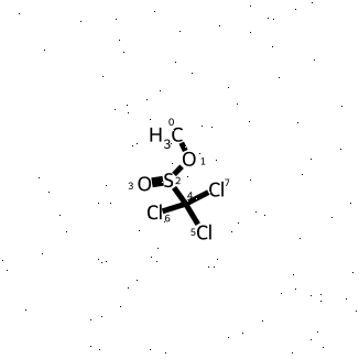 COS(=O)C(Cl)(Cl)Cl